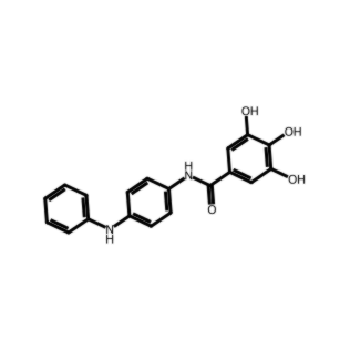 O=C(Nc1ccc(Nc2ccccc2)cc1)c1cc(O)c(O)c(O)c1